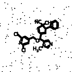 Cn1cncc1C(OCc1cc(Cl)nc(Cl)c1)C1=CC(c2ccccc2)C(C)(C#N)C=C1